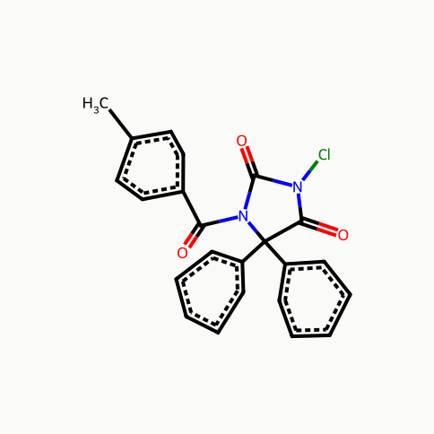 Cc1ccc(C(=O)N2C(=O)N(Cl)C(=O)C2(c2ccccc2)c2ccccc2)cc1